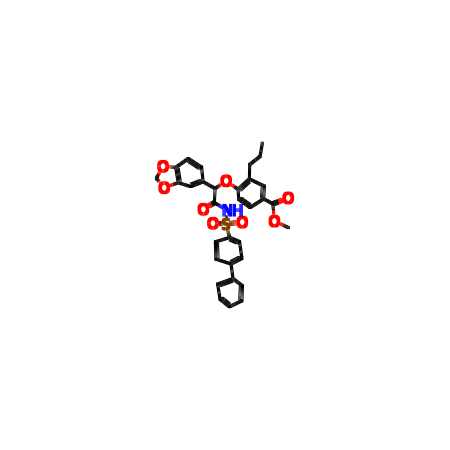 CCCc1cc(C(=O)OC)ccc1OC(C(=O)NS(=O)(=O)c1ccc(-c2ccccc2)cc1)c1ccc2c(c1)OCO2